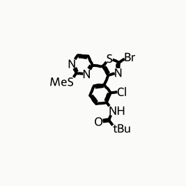 CSc1nccc(-c2sc(Br)nc2-c2cccc(NC(=O)C(C)(C)C)c2Cl)n1